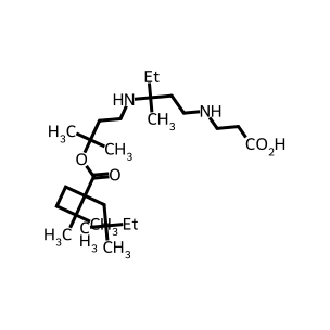 CCC(C)(C)CC1(C(=O)OC(C)(C)CCNC(C)(CC)CCNCCC(=O)O)CCC1(C)C